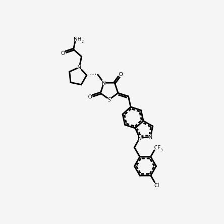 NC(=O)CN1CCC[C@H]1CN1C(=O)S/C(=C\c2ccc3c(cnn3Cc3ccc(Cl)cc3C(F)(F)F)c2)C1=O